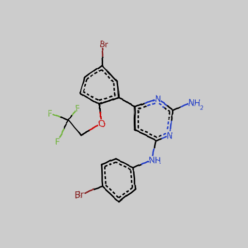 Nc1nc(Nc2ccc(Br)cc2)cc(-c2cc(Br)ccc2OCC(F)(F)F)n1